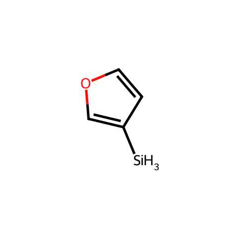 [SiH3]c1ccoc1